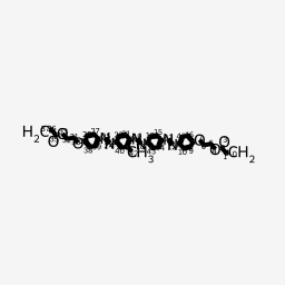 C=CC(=O)OCCOc1ccc(/N=N/c2ccc(/N=N/c3ccc(/N=N/c4ccc(OCCOC(=O)C=C)cc4)cc3C)cc2)cc1